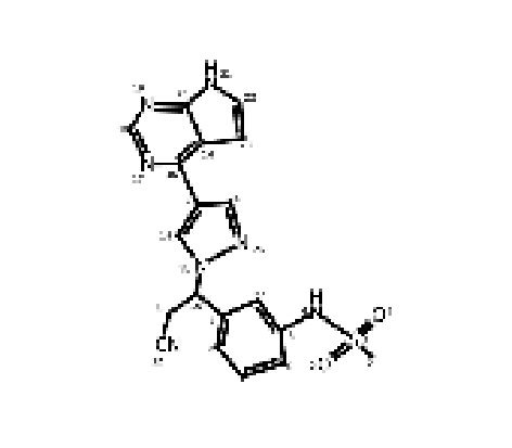 CS(=O)(=O)Nc1cccc(C(CC#N)n2cc(-c3ncnc4[nH]ccc34)cn2)c1